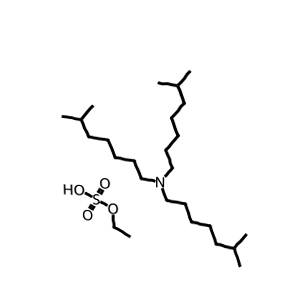 CC(C)CCCCCN(CCCCCC(C)C)CCCCCC(C)C.CCOS(=O)(=O)O